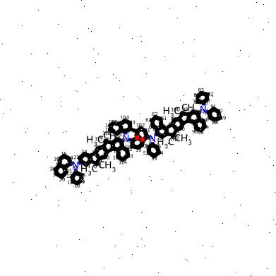 CC1(C)c2cc(N(c3ccccc3)c3cccc4ccccc34)ccc2-c2cc3c(cc21)-c1c(cc(N(c2ccccc2)c2c(-c4ccc(N(c5ccccc5)c5cc6c(c7ccccc57)-c5cc7c(cc5C6(C)C)-c5c(cc(N(c6ccccc6)c6ccccc6)c6ccccc56)C7(C)C)cc4)ccc4ccccc24)c2ccccc12)C3(C)C